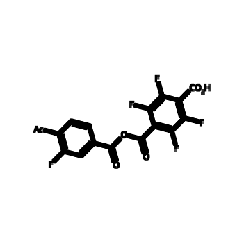 CC(=O)c1ccc(C(=O)OC(=O)c2c(F)c(F)c(C(=O)O)c(F)c2F)cc1F